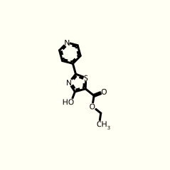 CCOC(=O)c1sc(-c2ccncc2)nc1O